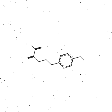 C=C(CCCc1ccc(CC)cn1)C(=O)O